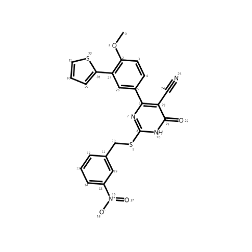 COc1ccc(-c2nc(SCc3cccc([N+](=O)[O-])c3)[nH]c(=O)c2C#N)cc1-c1cccs1